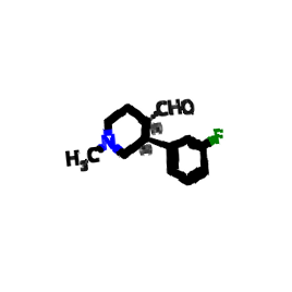 CN1CC[C@H](C=O)[C@@H](c2cccc(F)c2)C1